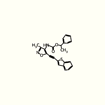 Cc1noc(C#Cc2cc3ccccc3s2)c1NC(=O)OC(C)c1ccccc1